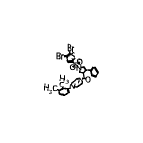 Cc1cccc(N2CCN(C(=O)C3CN(S(=O)(=O)c4cc(Br)c(Br)s4)CC3c3ccccc3)CC2)c1C